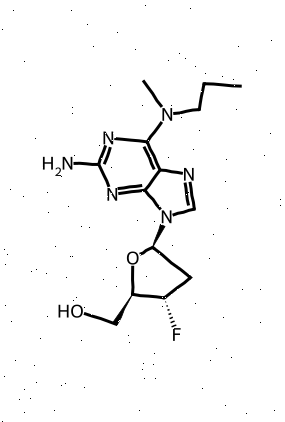 CCCN(C)c1nc(N)nc2c1ncn2[C@H]1C[C@H](F)[C@@H](CO)O1